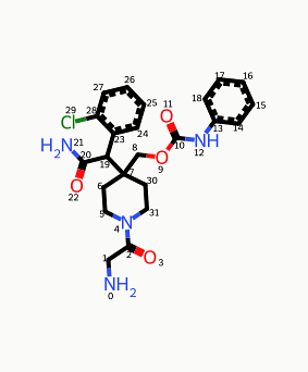 NCC(=O)N1CCC(COC(=O)Nc2ccccc2)(C(C(N)=O)c2ccccc2Cl)CC1